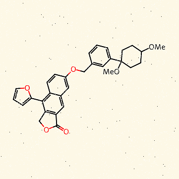 COC1CCC(OC)(c2cccc(COc3ccc4c(-c5ccco5)c5c(cc4c3)C(=O)OC5)c2)CC1